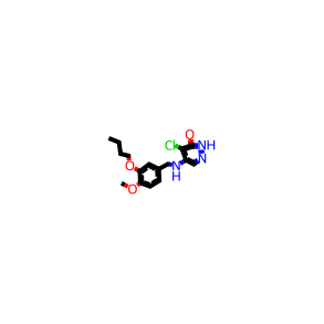 CCCCOc1cc(CNc2cn[nH]c(=O)c2Cl)ccc1OC